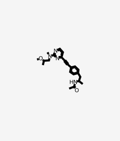 COC(C)CN(C)c1nccc(C#Cc2ccc(CC(C)NC(C)=O)cc2)n1